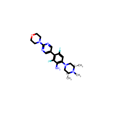 C[C@@H]1CN(c2cc(F)c(-c3cnc(N4CCOCC4)nc3)c(F)c2N)C[C@H](C)N1C